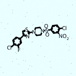 O=[N+]([O-])c1cc(S(=O)(=O)N2CCN(c3nc(-c4ccc(Cl)c(F)c4)cs3)CC2)ccc1Cl